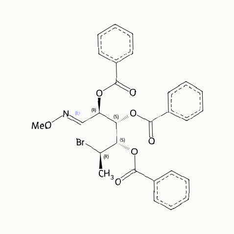 CO/N=C/[C@@H](OC(=O)c1ccccc1)[C@H](OC(=O)c1ccccc1)[C@H](OC(=O)c1ccccc1)[C@@H](C)Br